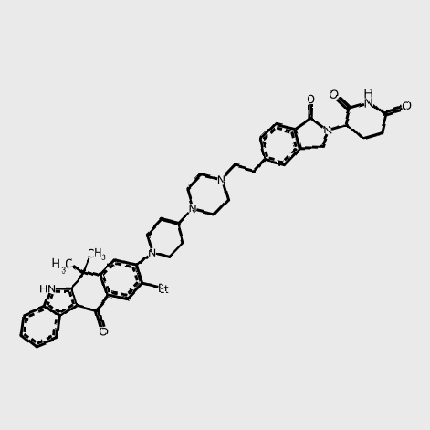 CCc1cc2c(cc1N1CCC(N3CCN(CCc4ccc5c(c4)CN(C4CCC(=O)NC4=O)C5=O)CC3)CC1)C(C)(C)c1[nH]c3ccccc3c1C2=O